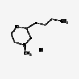 CCCCC1CN(C)CCO1.I